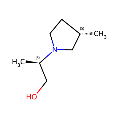 C[C@H]1CCN([C@H](C)CO)C1